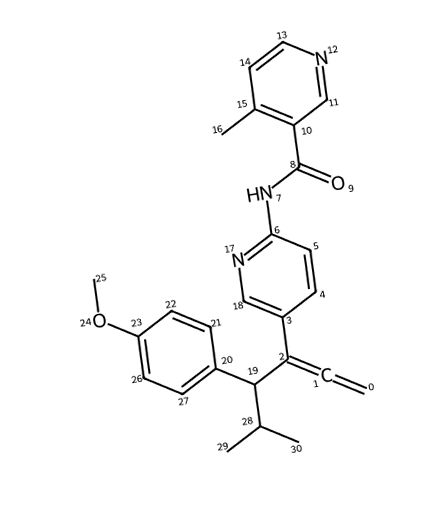 C=C=C(c1ccc(NC(=O)c2cnccc2C)nc1)C(c1ccc(OC)cc1)C(C)C